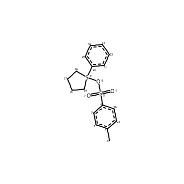 Cc1ccc(S(=O)(=O)OS2(c3ccccc3)CCCC2)cc1